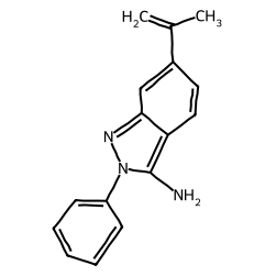 C=C(C)c1ccc2c(N)n(-c3ccccc3)nc2c1